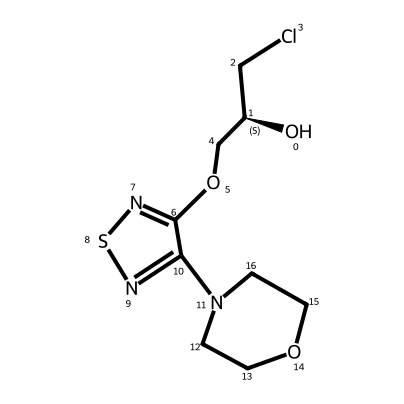 O[C@H](CCl)COc1nsnc1N1CCOCC1